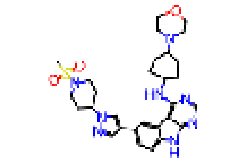 CS(=O)(=O)N1CCC(n2cc(-c3ccc4[nH]c5ncnc(NC6CCC(N7CCOCC7)CC6)c5c4c3)cn2)CC1